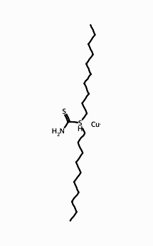 CCCCCCCCCC[SH](CCCCCCCCCC)C(N)=S.[Cu]